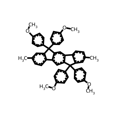 COc1ccc(C2(c3ccc(OC)cc3)c3cc(C)ccc3-c3cc4c(cc32)-c2ccc(C)cc2C4(c2ccc(OC)cc2)c2ccc(OC)cc2)cc1